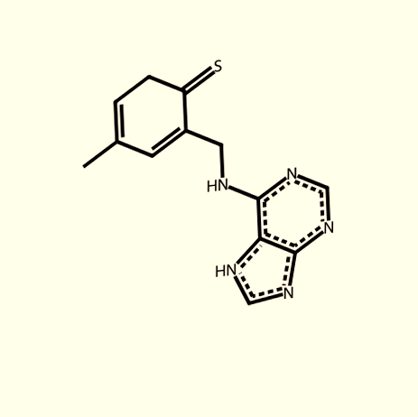 CC1=CCC(=S)C(CNc2ncnc3nc[nH]c23)=C1